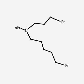 CCCN(CCCCCC(C)C)CCCC(C)C